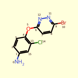 Nc1ccc(Oc2ccc(Br)nn2)c(Cl)c1